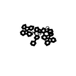 c1ccc(-c2cccc(N(c3ccc4c(c3)C3(c5ccccc5-c5ccccc53)c3ccccc3-4)c3cccc4c3oc3c(-c5cccc6c5-c5ccccc5C6(c5ccccc5)c5ccccc5)c5c(cc34)oc3ccccc35)c2)cc1